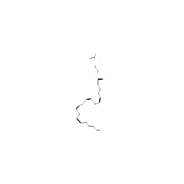 CCCCC/C=C\C/C=C\C/C=C\C/C=C\CCCC(=O)OCCOC(C)C